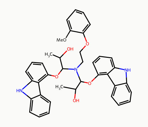 COc1ccccc1OCCN(C(Oc1cccc2[nH]c3ccccc3c12)C(C)O)C(Oc1cccc2[nH]c3ccccc3c12)C(C)O